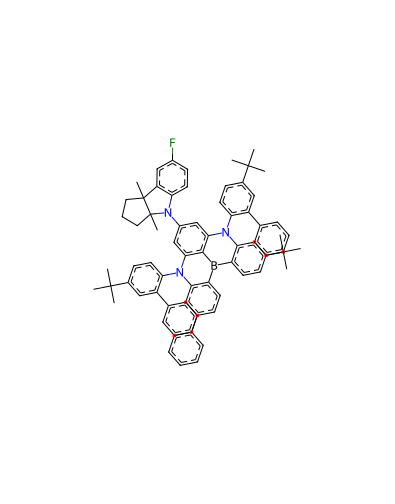 CC(C)(C)c1ccc(N2c3cc(-c4ccccc4)ccc3B3c4ccc(C(C)(C)C)cc4N(c4ccc(C(C)(C)C)cc4-c4ccccc4)c4cc(N5c6ccc(F)cc6C6(C)CCCC56C)cc2c43)c(-c2ccccc2)c1